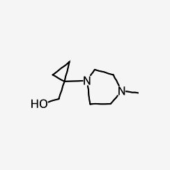 CN1CCN(C2(CO)CC2)CC1